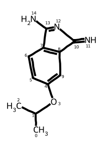 CC(C)Oc1ccc2c(c1)C(=N)N=C2N